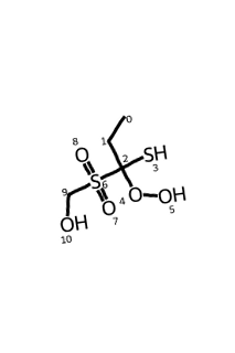 CCC(S)(OO)S(=O)(=O)CO